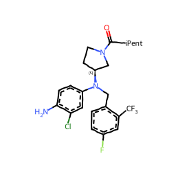 CCCC(C)C(=O)N1CC[C@H](N(Cc2ccc(F)cc2C(F)(F)F)c2ccc(N)c(Cl)c2)C1